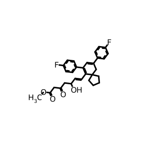 COC(=O)CC(=O)CC(O)/C=C/C1=C(c2ccc(F)cc2)C=C(c2ccc(F)cc2)CC12CCCC2